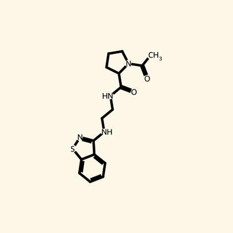 CC(=O)N1CCCC1C(=O)NCCNc1nsc2ccccc12